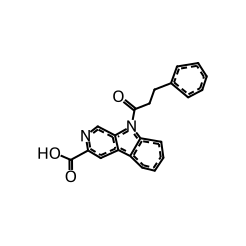 O=C(O)c1cc2c3ccccc3n(C(=O)CCc3ccccc3)c2cn1